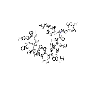 CC(C)C(O/N=C(\C(=O)N[C@@H]1C(=O)N2C[C@@](C(=O)O)(N3CCN(NC(=O)C(=O)c4ccc(O)c(O)c4Cl)C3=O)S[C@H]12)c1csc(N)n1)C(=O)O